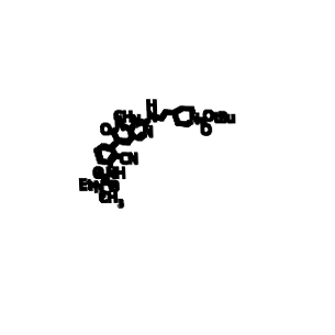 CCN(C)S(=O)(=O)Nc1cccc(-c2cc3cnc(NCCC4CCN(C(=O)OC(C)(C)C)CC4)nc3n(C)c2=O)c1C#N